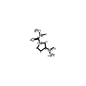 CC(C)N(C)C(=O)N1CCC(N(C)C(C)C)C1